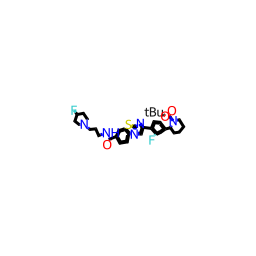 CC(C)(C)OC(=O)N1CCCCC1c1ccc(-c2cn3c(n2)sc2cc(C(=O)NCCCN4CCC(F)CC4)ccc23)c(F)c1